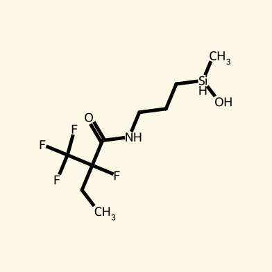 CCC(F)(C(=O)NCCC[SiH](C)O)C(F)(F)F